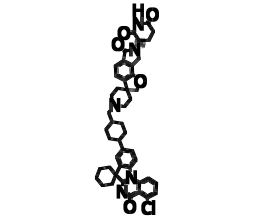 O=C1CC[C@H](N2Cc3c(ccc4c3OCC43CCN(CC4CCC(c5ccc6c(c5)C5(CCCCC5)c5nc(=O)c7c(Cl)cccc7n5-6)CC4)CC3)C2=O)C(=O)N1